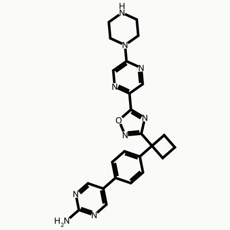 Nc1ncc(-c2ccc(C3(c4noc(-c5cnc(N6CCNCC6)cn5)n4)CCC3)cc2)cn1